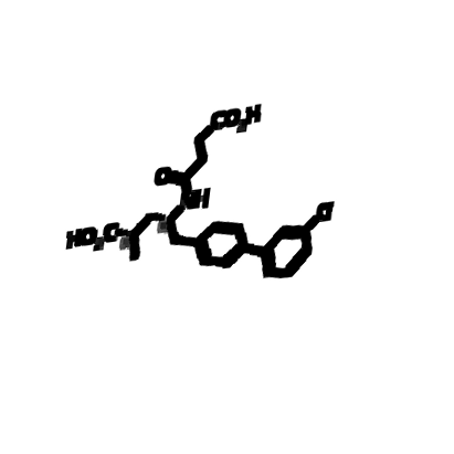 C[C@@H](C[C@@H](Cc1ccc(-c2cccc(Cl)c2)cc1)NC(=O)CCC(=O)O)C(=O)O